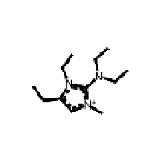 CCc1c[n+](C)c(N(CC)CC)n1CC